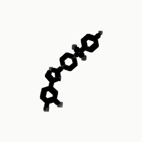 O=S(=O)(c1ccc(F)cc1)N1CCN(c2nc(-c3ccc(Cl)c(Cl)c3)cs2)CC1